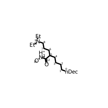 CCCCCCCCCCCCCCC(CCCN(CC)CC)C(=O)[NH2+][O-]